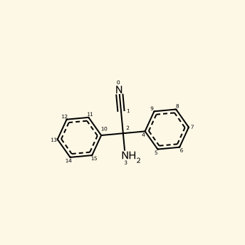 N#CC(N)(c1ccccc1)c1ccccc1